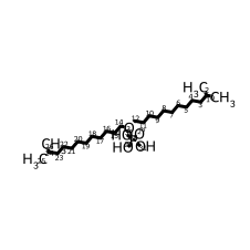 CC(C)CCCCCCCCCCOCCCCCCCCCCC(C)C.O=P(O)(O)O